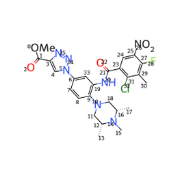 COC(=O)c1cn(-c2ccc(N3C[C@@H](C)N(C)[C@@H](C)C3)c(NC(=O)c3cc([N+](=O)[O-])c(F)c(C)c3Cl)c2)nn1